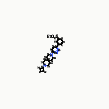 CCOC(=O)c1cccc(-c2ccc(N3CCC4(CC3)CCN(C3CCC3)CC4)nn2)c1